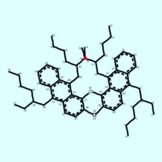 CCCCC(CC)Cc1c2ccccc2c(CC(CC)CCCC)c2c(Oc3c(Cl)ccc4c(CC(CC)CCCC)c5ccccc5c(CC(CC)CCCC)c34)c(Cl)ccc12